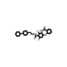 O=C1Nc2c(cc(F)c(C(=O)NCCc3ccc(-c4ccccc4)cc3)c2F)Sc2ccccc21